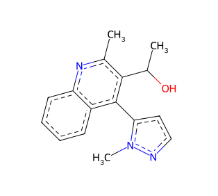 Cc1nc2ccccc2c(-c2ccnn2C)c1C(C)O